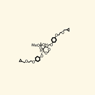 COC1(C)O[C@H]2[C@H](O1)[C@@H](COc1ccc(OCCOCC3CC3)cc1)OCO[C@@H]2COc1ccc(OCCOCC2CC2)cc1